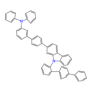 c1ccc(-c2ccc(-c3ccccc3-n3c4ccccc4c4ccc(-c5ccc(-c6cccc(N(c7ccccc7)c7ccccc7)c6)cc5)cc43)cc2)cc1